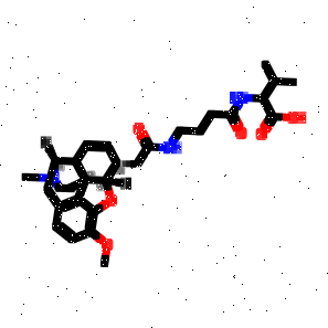 COc1ccc2c3c1O[C@H]1[C@@H](CC(=O)NCCCC(=O)NC(C(=O)O)C(C)C)C=CC4[C@@H](C2)N(C)CC[C@@]341